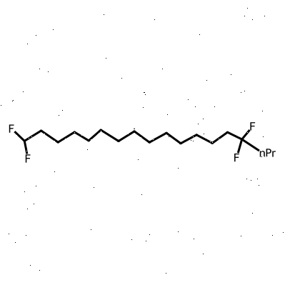 CCCC(F)(F)CCCCCC[CH]CCCCCCC(F)F